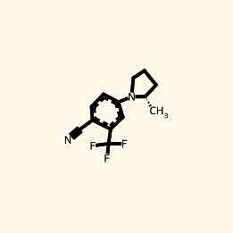 C[C@H]1CCCN1c1ccc(C#N)c(C(F)(F)F)c1